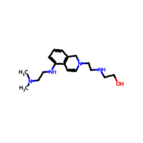 CN(C)CCNc1cccc2c1C=CN(CCNCCO)C2